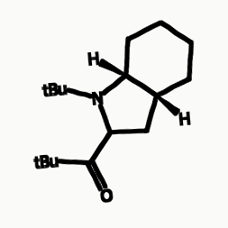 CC(C)(C)C(=O)C1C[C@H]2CCCC[C@H]2N1C(C)(C)C